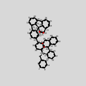 c1ccc(CN(c2ccc(-c3ccc4c(c3)C35c6ccccc6-c6cccc(c63)-c3cccc-4c35)cc2)c2ccccc2-c2cccc3ccccc23)cc1